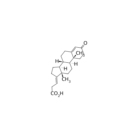 C[C@]12CCC(=O)C=C1CC[C@@H]1[C@@H]2CC[C@]2(C)C(=CCC(=O)O)CC[C@@H]12